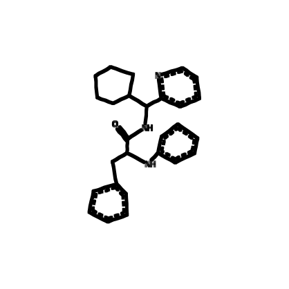 O=C(NC(c1ccccn1)C1CCCCC1)C(Cc1ccccc1)Nc1ccccc1